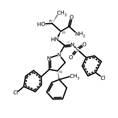 C[C@@H](O)[C@H](N/C(=N/S(=O)(=O)c1ccc(Cl)cc1)N1C[C@H](C2(C)C=CC=CC2)C(c2ccc(Cl)cc2)=N1)C(N)=O